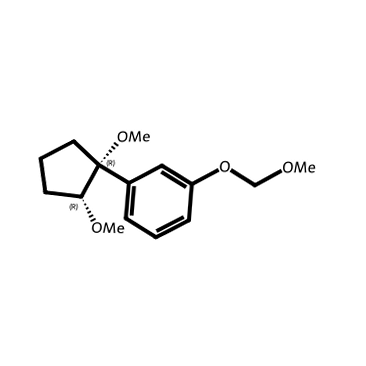 COCOc1cccc([C@]2(OC)CCC[C@H]2OC)c1